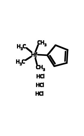 Cl.Cl.Cl.[CH3][Hf]([CH3])([CH3])([CH3])[C]1=CC=CC1